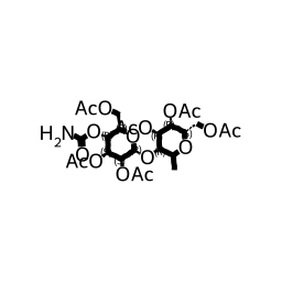 CC(=O)OC[C@@H]1OC(C)[C@@H](O[C@H]2O[C@H](COC(C)=O)[C@@H](OC(N)=O)[C@H](OC(C)=O)[C@@H]2OC(C)=O)[C@@H](OC(C)=O)[C@@H]1OC(C)=O